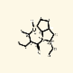 CCC(C(=O)N1C2CCCC2C[C@H]1CC)C(C)OC